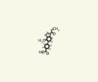 CCC(=O)N1CCc2c1ccc(-c1ccc(C(=O)O)cc1)c2C